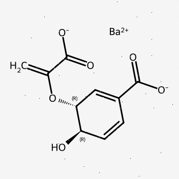 C=C(O[C@@H]1C=C(C(=O)[O-])C=C[C@H]1O)C(=O)[O-].[Ba+2]